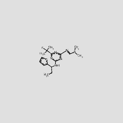 CCC(Nc1nc(N=CN(C)C)nc(C(C)(C)F)n1)c1cccs1